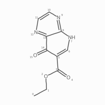 CCOC(=O)c1c[nH]c2nccnc2c1=O